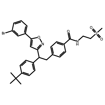 CC(C)(C)c1ccc(C(Cc2ccc(C(=O)NCCS(C)(=O)=O)cc2)c2cc(-c3cccc(Br)c3)on2)cc1